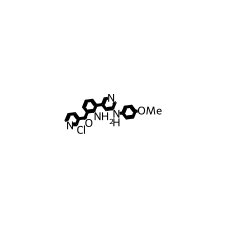 COc1ccc(Nc2cncc(-c3cccc(C(=O)c4cccnc4Cl)c3N)c2)cc1